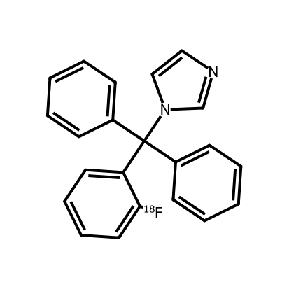 [18F]c1ccccc1C(c1ccccc1)(c1ccccc1)n1ccnc1